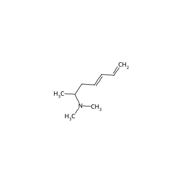 C=CC=CCC(C)N(C)C